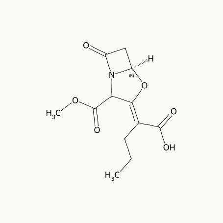 CCCC(C(=O)O)=C1O[C@@H]2CC(=O)N2C1C(=O)OC